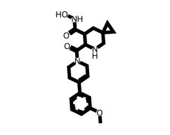 COc1cccc(C2=CCN(C(=O)C3NCC4(CC4)CC3C(=O)NO)CC2)c1